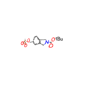 CC(C)(C)OC(=O)N1Cc2ccc(COS(C)(=O)=O)cc2C1